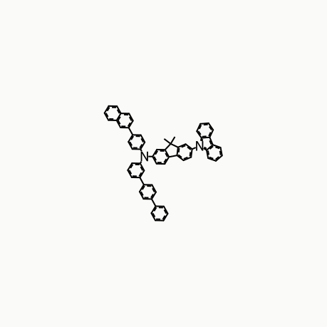 CC1(C)c2cc(N(c3ccc(-c4ccc5ccccc5c4)cc3)c3cccc(-c4ccc(-c5ccccc5)cc4)c3)ccc2-c2ccc(-n3c4ccccc4c4ccccc43)cc21